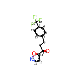 O=C(CCc1ccc(C(F)(F)F)cc1)c1ccno1